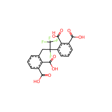 O=C(O)c1cccc(CC(F)(c2cccc(C(=O)O)c2C(=O)O)C(F)(F)F)c1C(=O)O